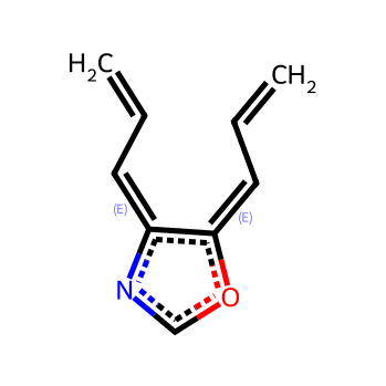 C=C/C=c1/nco/c1=C/C=C